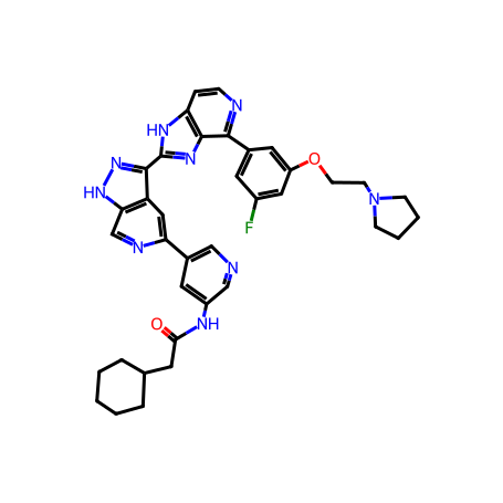 O=C(CC1CCCCC1)Nc1cncc(-c2cc3c(-c4nc5c(-c6cc(F)cc(OCCN7CCCC7)c6)nccc5[nH]4)n[nH]c3cn2)c1